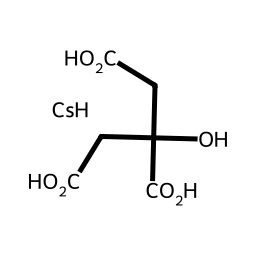 O=C(O)CC(O)(CC(=O)O)C(=O)O.[CsH]